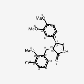 COc1ccc([C@H]2CNC(=O)[C@@H]2Cc2cccc(Cl)c2OC)cc1OC